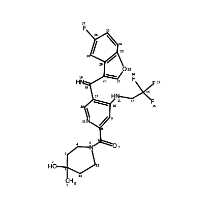 CC1(O)CCN(C(=O)c2cc(NCC(F)(F)F)c(C(=N)c3coc4ccc(F)cc34)cn2)CC1